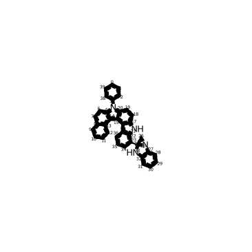 c1ccc(-n2c3ccc4ccccc4c3c3c4c(ccc32)[nH]c2c([C@@]35CN3c3ccccc3N5)cccc24)cc1